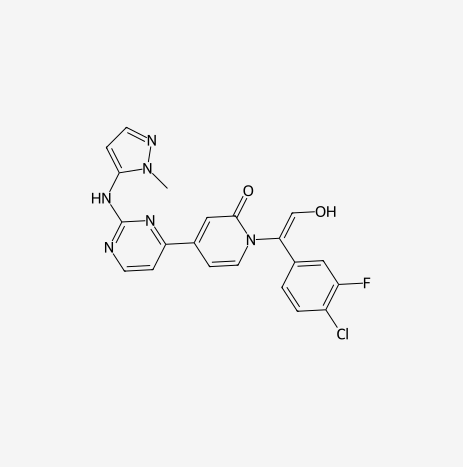 Cn1nccc1Nc1nccc(-c2ccn(C(=CO)c3ccc(Cl)c(F)c3)c(=O)c2)n1